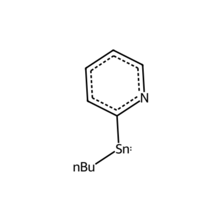 CCC[CH2][Sn][c]1ccccn1